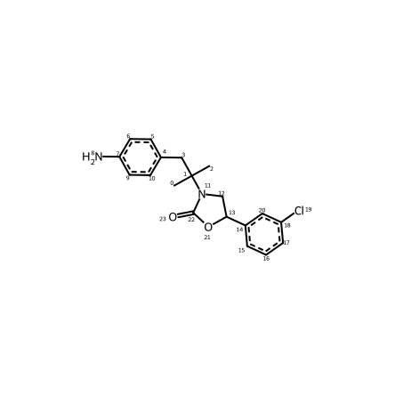 CC(C)(Cc1ccc(N)cc1)N1CC(c2cccc(Cl)c2)OC1=O